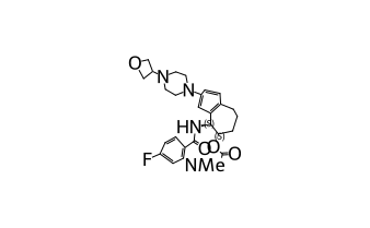 CNC(=O)O[C@H]1CCCc2ccc(N3CCN(C4COC4)CC3)cc2[C@@H]1NC(=O)c1ccc(F)cc1